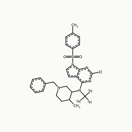 [2H]C([2H])([2H])N(c1nc(Cl)nc2c1ccn2S(=O)(=O)c1ccc(C)cc1)C1CN(Cc2ccccc2)CCC1C